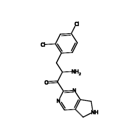 NC(Cc1ccc(Cl)cc1Cl)C(=O)c1ncc2c(n1)CNC2